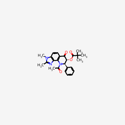 CC(=O)N1c2c(ccc3c2nc(C)n3C)C(=O)[C@H](OC(=O)C(C)(C)C)[C@H]1c1ccccc1